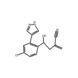 C=C(C#N)CC(O)c1ccc(Cl)cc1-c1cn[nH]c1